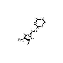 Cc1sc(COC2CCCCO2)cc1Br